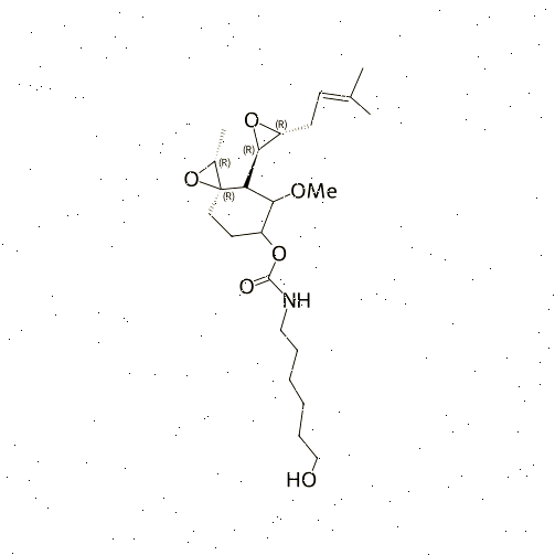 COC1C(OC(=O)NCCCCCCO)CC[C@@]2(O[C@@H]2C)C1[C@H]1O[C@@H]1CC=C(C)C